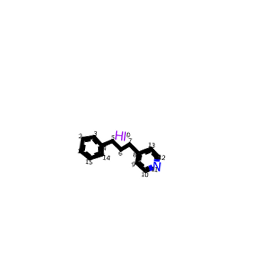 I.c1ccc(CCCc2ccncc2)cc1